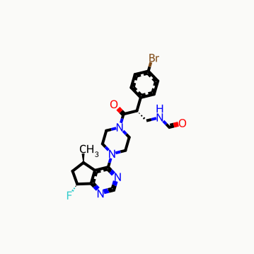 C[C@@H]1C[C@@H](F)c2ncnc(N3CCN(C(=O)[C@@H](CNC=O)c4ccc(Br)cc4)CC3)c21